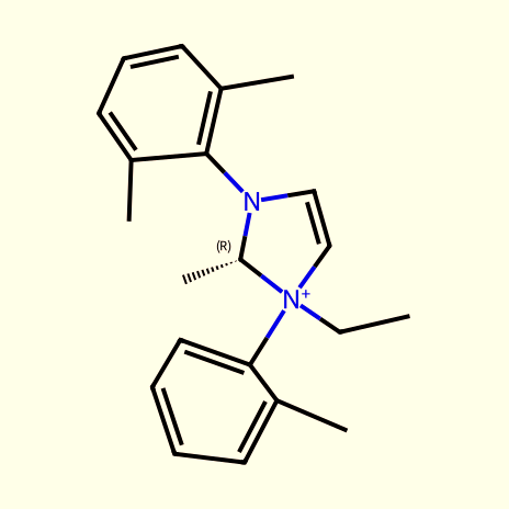 CC[N+]1(c2ccccc2C)C=CN(c2c(C)cccc2C)[C@H]1C